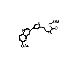 CC(=O)Oc1ccc2ncc(-c3cnn(CCN(C)C(=O)OC(C)(C)C)c3)cc2c1